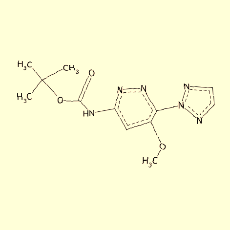 COc1cc(NC(=O)OC(C)(C)C)nnc1-n1nccn1